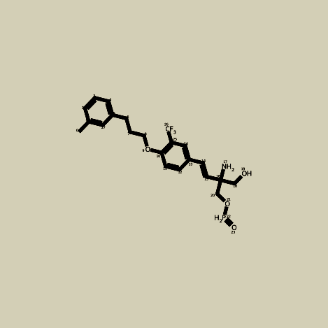 Cc1cccc(CCCOc2ccc(C=CC(N)(CO)CO[PH2]=O)cc2C(F)(F)F)c1